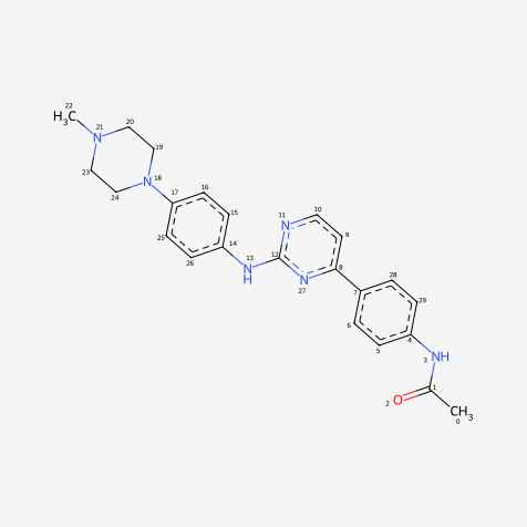 CC(=O)Nc1ccc(-c2ccnc(Nc3ccc(N4CCN(C)CC4)cc3)n2)cc1